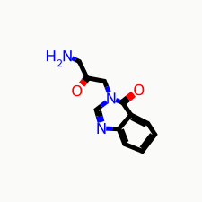 NCC(=O)Cn1cnc2ccccc2c1=O